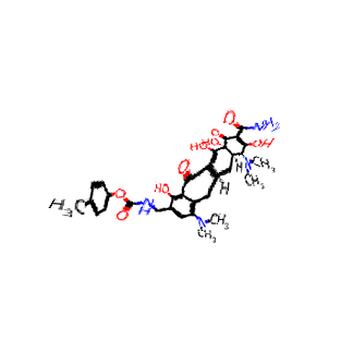 Cc1ccc(OC(=O)NCc2cc(N(C)C)c3c(c2O)C(=O)C2=C(O)[C@@]4(O)C(=O)C(C(N)=O)=C(O)[C@H](N(C)C)[C@H]4C[C@H]2C3)cc1